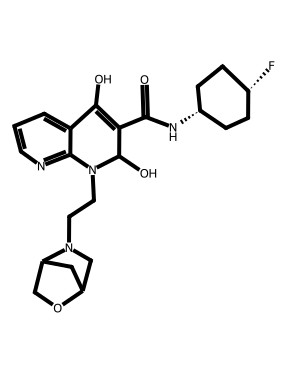 O=C(N[C@H]1CC[C@@H](F)CC1)C1=C(O)c2cccnc2N(CCN2CC3CC2CO3)C1O